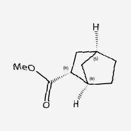 COC(=O)[C@@H]1C[C@H]2CC[C@@H]1C2